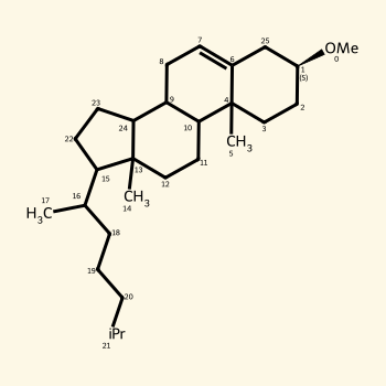 CO[C@H]1CCC2(C)C(=CCC3C2CCC2(C)C(C(C)CCCC(C)C)CCC32)C1